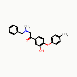 Cc1ccc(Oc2ccc(C(=O)CN(C)Cc3ccccc3)cc2O)cc1